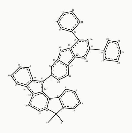 CC1(C)c2ccccc2-c2c1ccc1c3ccccc3n(-c3ccc4c(c3)sc3c(-c5ccccc5)nc(-c5ccccc5)nc34)c21